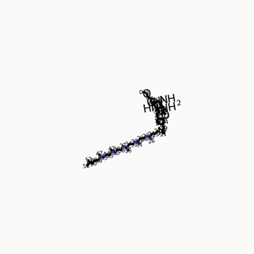 COCCOC1=NC(N)=C2NC(=O)N(Cc3ccc(CN(C)CCC/C(C)=C/CC/C(C)=C/CC/C(C)=C/CC/C=C(\C)CC/C=C(\C)CCC=C(C)C)cc3)C2(C)N1